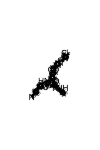 Cc1ccc(COc2ccc(C3COc4cc5c(cc4O3)CN(S(=O)(=O)c3sc(NCC4CCCC4)nc3C)[C@H](C(=O)N[C@@H](Cc3ccc(-c4ccc(C#N)cc4)cc3)C(=O)O)C5)cc2)cc1Cl